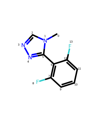 Cn1cnnc1-c1c(F)cccc1F